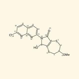 COC1CSC2=C(SC1)C(O)N(c1ccc3ccc(Cl)nc3n1)C2=O